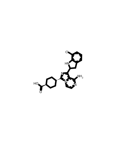 Nc1nccn2c1c(C1Cc3cccc(Cl)c3N1)nc2[C@H]1CC[C@H](C(=O)O)CC1